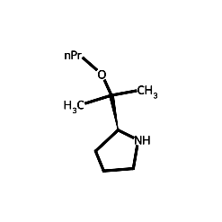 CCCOC(C)(C)[C@@H]1CCCN1